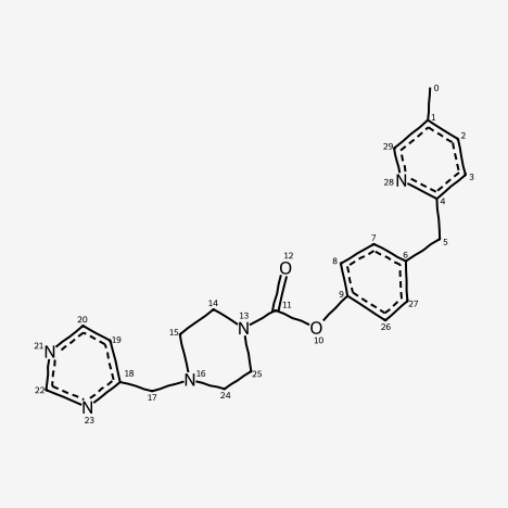 Cc1ccc(Cc2ccc(OC(=O)N3CCN(Cc4ccncn4)CC3)cc2)nc1